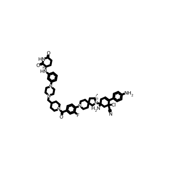 C[C@H]1CC2(CCN(c3ccc(C(=O)N4CCC(CN5CCN(c6cccc(N[C@@H]7CCC(=O)NC7=O)c6)CC5)CC4)cc3F)CC2)CN1C1(N)CC=C(c2ccc(N)cc2)C(Cl)(C#N)C1